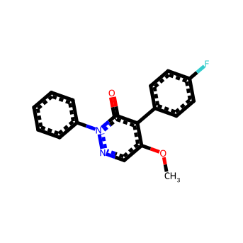 COc1cnn(-c2ccccc2)c(=O)c1-c1ccc(F)cc1